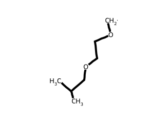 [CH2]OCCOCC(C)C